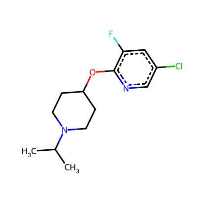 CC(C)N1CCC(Oc2ncc(Cl)cc2F)CC1